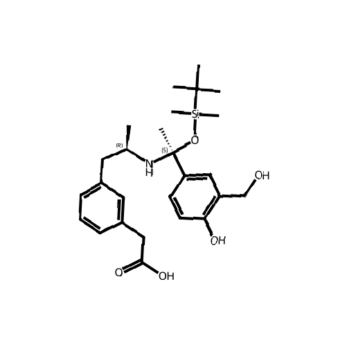 C[C@H](Cc1cccc(CC(=O)O)c1)N[C@@](C)(O[Si](C)(C)C(C)(C)C)c1ccc(O)c(CO)c1